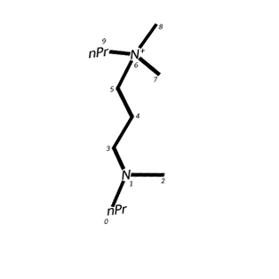 CCCN(C)CCC[N+](C)(C)CCC